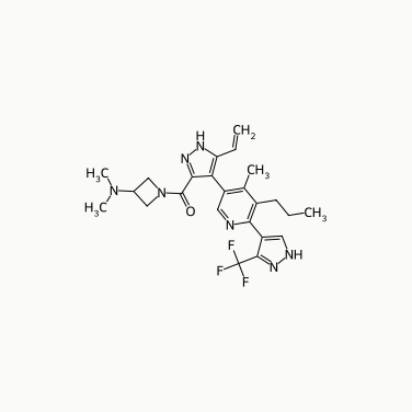 C=Cc1[nH]nc(C(=O)N2CC(N(C)C)C2)c1-c1cnc(-c2c[nH]nc2C(F)(F)F)c(CCC)c1C